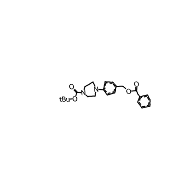 CC(C)(C)OC(=O)N1CCN(c2ccc(COC(=O)c3ccccc3)cc2)CC1